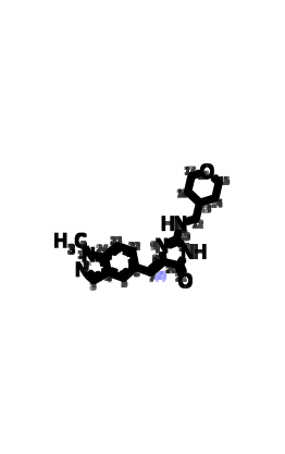 Cn1ncc2cc(/C=C3\N=C(NCC4CCOCC4)NC3=O)ccc21